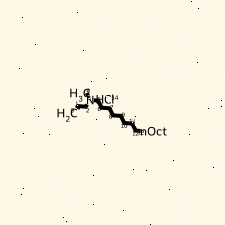 C=CCN(C)CCCCCCCCCCCCCCCC.Cl